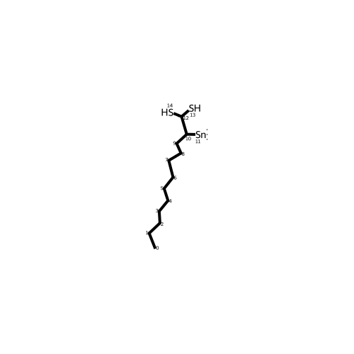 CCCCCCCCCC[CH]([Sn])[C](S)S